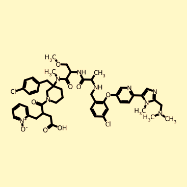 COCC(NC(=O)C(C)NCc1ccc(Cl)cc1Oc1ccc(-c2cnc(CN(C)C)n2C)nc1)C(=O)N(C)C1(Cc2ccc(Cl)cc2)CCCN(C(=O)C(CC(=O)O)Cc2cccc[n+]2[O-])C1